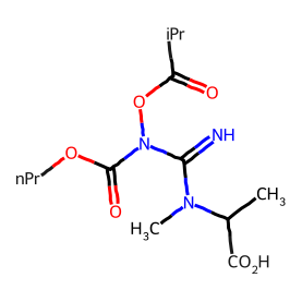 CCCOC(=O)N(OC(=O)C(C)C)C(=N)N(C)C(C)C(=O)O